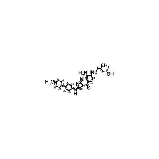 CC(CCO)CCNc1ccc(C(=O)c2sc(Nc3ccc(N4CCN(C)CC4)cc3)nc2N)cc1N